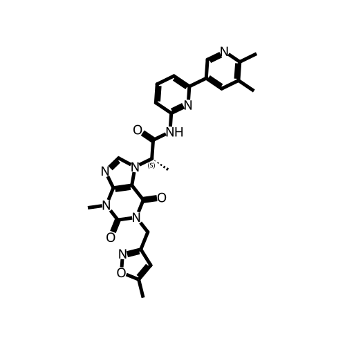 Cc1cc(Cn2c(=O)c3c(ncn3[C@@H](C)C(=O)Nc3cccc(-c4cnc(C)c(C)c4)n3)n(C)c2=O)no1